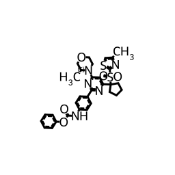 Cc1csc(S(=O)(=O)C2(c3cc(N4CCOC[C@@H]4C)nc(-c4ccc(NC(=O)Oc5ccccc5)cc4)n3)CCCC2)n1